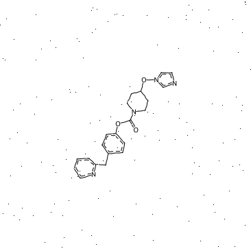 O=C(Oc1ccc(Cc2ccccn2)cc1)N1CCC(On2ccnc2)CC1